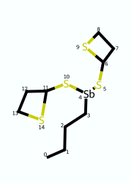 CCC[CH2][Sb]([S]C1CCS1)[S]C1CCS1